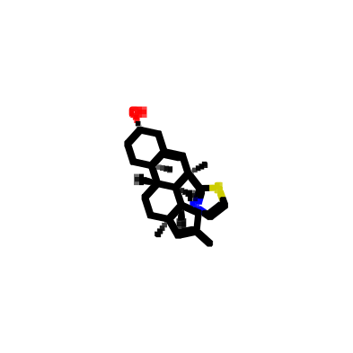 CC1=C[C@@]2(C)CC[C@H]3[C@H]([C@@H]2C1)[C@](C)(c1nccs1)C=C1C[C@@H](O)CC[C@@]13C